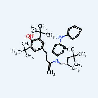 C=C(CCc1cc(C(C)(C)C)c(O)c(C(C)(C)C)c1)N(CC(C)CC(C)(C)C)c1ccc(Nc2ccccc2)cc1